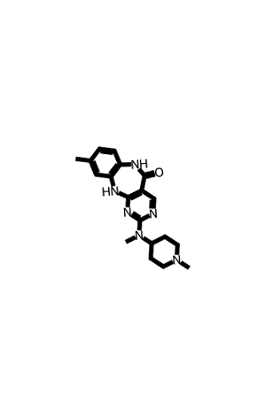 Cc1ccc2c(c1)Nc1nc(N(C)C3CCN(C)CC3)ncc1C(=O)N2